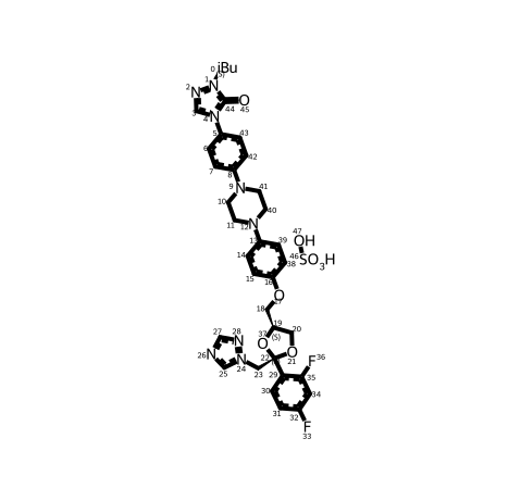 CC[C@H](C)n1ncn(-c2ccc(N3CCN(c4ccc(OC[C@H]5CO[C@](Cn6cncn6)(c6ccc(F)cc6F)O5)cc4)CC3)cc2)c1=O.O=S(=O)(O)O